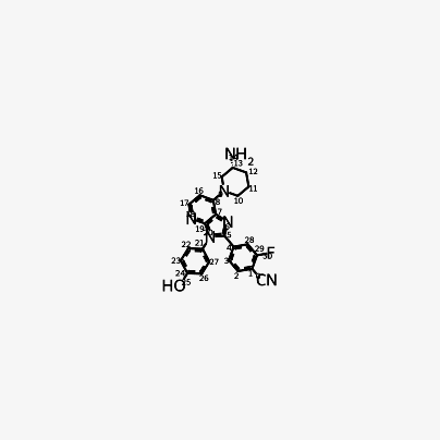 N#Cc1ccc(-c2nc3c(N4CCC[C@@H](N)C4)ccnc3n2-c2ccc(O)cc2)cc1F